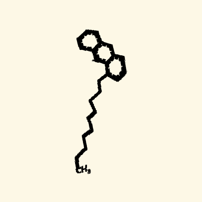 CCCCCCCCCCc1cccc2cc3ccccc3[c]c12